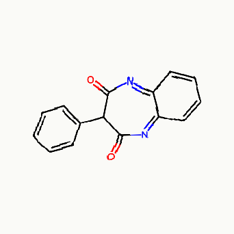 O=C1N=c2ccccc2=NC(=O)C1c1ccccc1